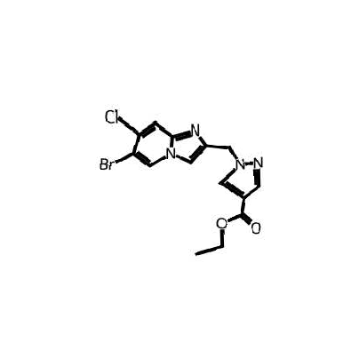 CCOC(=O)c1cnn(Cc2cn3cc(Br)c(Cl)cc3n2)c1